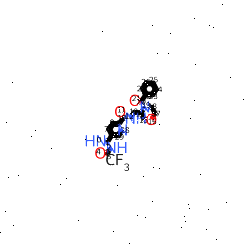 N=C(NC(=O)C(F)(F)F)c1ccc(C(=O)NCC2COCCN2C(=O)c2ccccc2)nc1